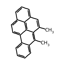 Cc1cc2cccc3ccc4c5ccccc5c(C)c1c4c32